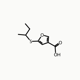 CCC(C)Sc1cc(C(=O)O)co1